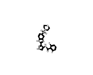 O=C(Nc1c[nH]nc1-c1nc2cc(S(=O)(=O)N3CCOCC3)ccc2[nH]1)c1c(F)cccc1F